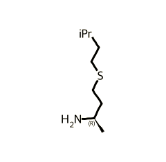 CC(C)CCSCC[C@@H](C)N